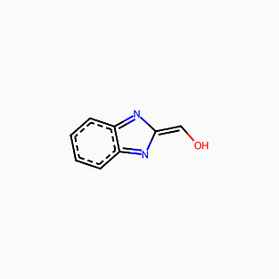 OC=C1N=c2ccccc2=N1